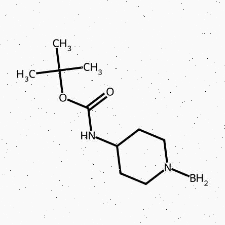 BN1CCC(NC(=O)OC(C)(C)C)CC1